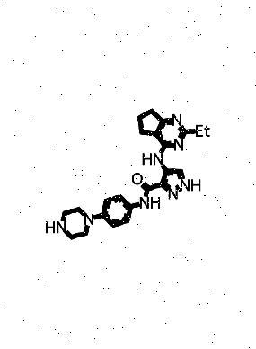 CCc1nc2c(c(Nc3c[nH]nc3C(=O)Nc3ccc(N4CCNCC4)cc3)n1)CCC2